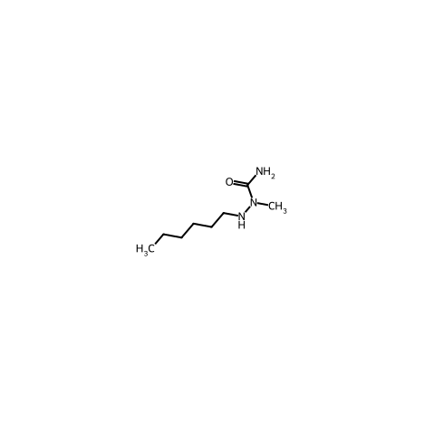 CCCCCCNN(C)C(N)=O